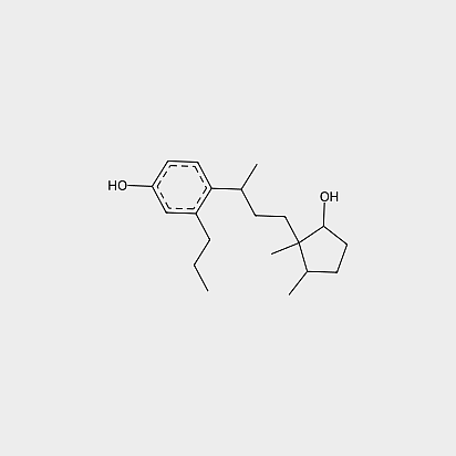 CCCc1cc(O)ccc1C(C)CCC1(C)C(C)CCC1O